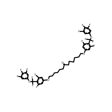 O=C(CCCCCCOc1cc(F)c(C(F)(F)Oc2cc(F)c(F)c(F)c2)c(F)c1)CCCCCCOc1cc(F)c(C(F)(F)Oc2cc(F)c(F)c(F)c2)c(F)c1